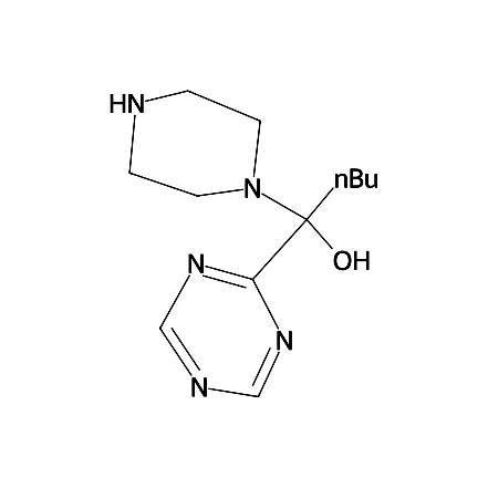 CCCCC(O)(c1ncncn1)N1CCNCC1